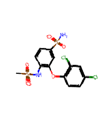 CS(=O)(=O)Nc1ccc(S(N)(=O)=O)cc1Oc1ccc(Cl)cc1Cl